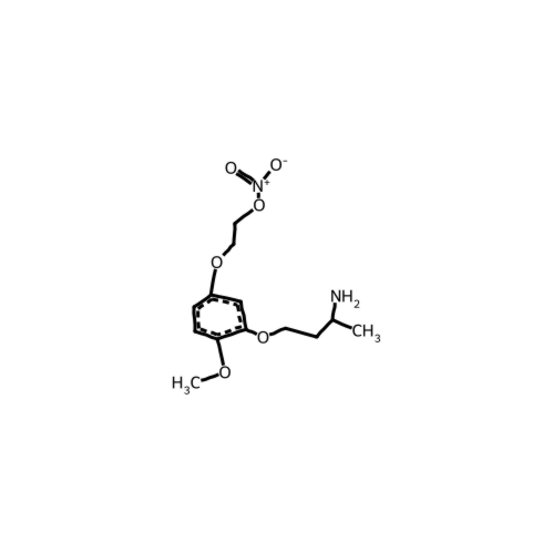 COc1ccc(OCCO[N+](=O)[O-])cc1OCCC(C)N